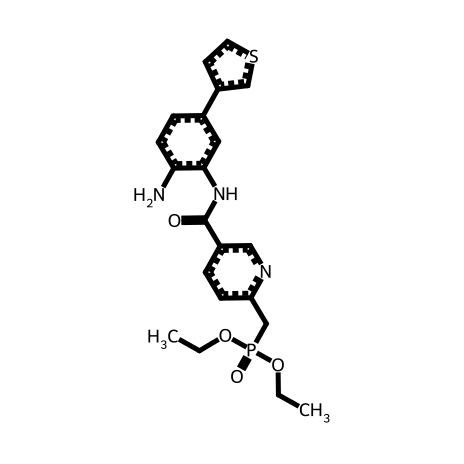 CCOP(=O)(Cc1ccc(C(=O)Nc2cc(-c3ccsc3)ccc2N)cn1)OCC